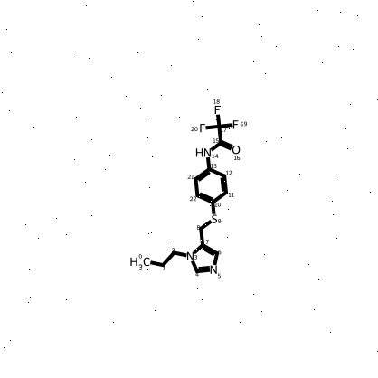 CCCn1cncc1CSc1ccc(NC(=O)C(F)(F)F)cc1